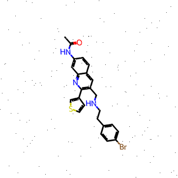 CC(=O)Nc1ccc2cc(CNCCc3ccc(Br)cc3)c(-c3ccsc3)nc2c1